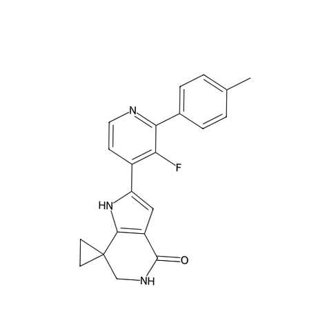 Cc1ccc(-c2nccc(-c3cc4c([nH]3)C3(CC3)CNC4=O)c2F)cc1